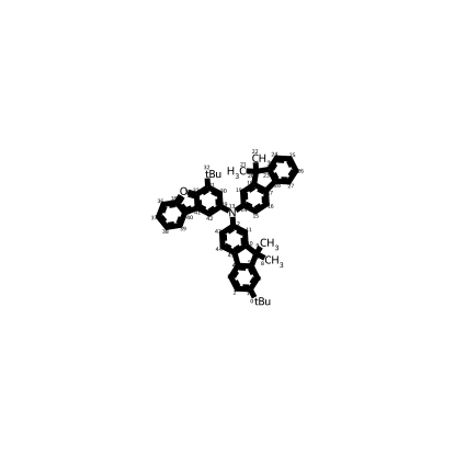 CC(C)(C)c1ccc2c(c1)C(C)(C)c1cc(N(c3ccc4c(c3)C(C)(C)c3ccccc3-4)c3cc(C(C)(C)C)c4oc5ccccc5c4c3)ccc1-2